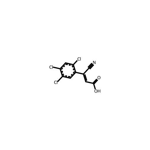 N#CC(=CC(=O)O)c1cc(Cl)c(Cl)cc1Cl